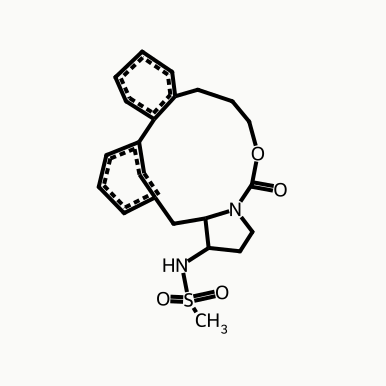 CS(=O)(=O)NC1CCN2C(=O)OCCCc3ccccc3-c3cccc(c3)CC12